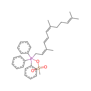 CC(C)=CCCC(C)=CC=CC(C)=CCP(OS(C)(=O)=O)(c1ccccc1)(c1ccccc1)c1ccccc1